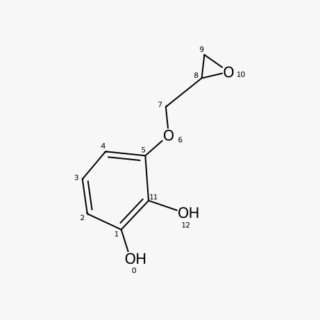 Oc1cccc(OCC2CO2)c1O